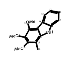 COc1c(OC)c(OC)c2c([nH]c3ccccc32)c1C